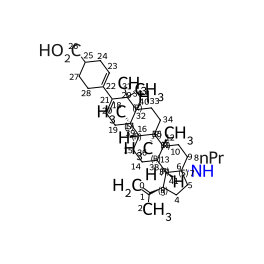 C=C(C)[C@@H]1CC[C@]2(NCCC)CC[C@]3(C)[C@H](CC[C@@H]4[C@@]5(C)CC=C(C6=CCC(C(=O)O)CC6)C(C)(C)[C@@H]5CC[C@]43C)[C@@H]12